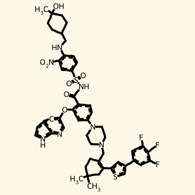 CC1(C)CCC(CN2CCN(c3ccc(C(=O)NS(=O)(=O)c4ccc(NCC5CCC(C)(O)CC5)c([N+](=O)[O-])c4)c(Oc4cnc5[nH]ccc5c4)c3)CC2)=C(c2cc(-c3cc(F)c(F)c(F)c3)cs2)C1